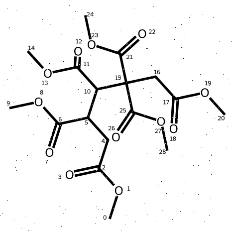 COC(=O)CC(C(=O)OC)C(C(=O)OC)C(CC(=O)OC)(C(=O)OC)C(=O)OC